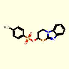 Cc1ccc(S(=O)(=O)OC2CCn3c(nc4ccccc43)S2)cc1